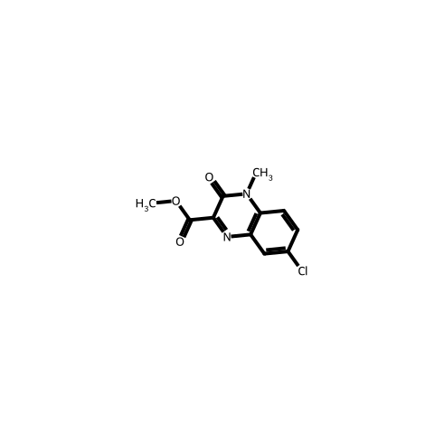 COC(=O)c1nc2cc(Cl)ccc2n(C)c1=O